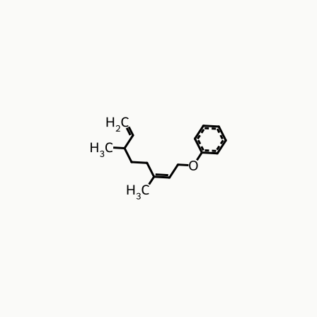 C=CC(C)CCC(C)=CCOc1ccccc1